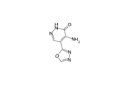 Nc1c(-c2nnco2)cn[nH]c1=O